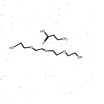 CCCC(=O)O.OCCOCCOCCOCCO